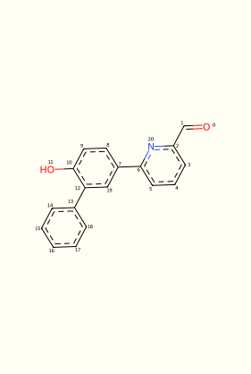 O=Cc1cccc(-c2ccc(O)c(-c3ccccc3)c2)n1